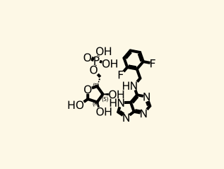 Fc1cccc(F)c1CNc1ncnc2nc[nH]c12.O=P(O)(O)OC[C@H]1OC(O)[C@H](O)[C@@H]1O